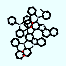 Cc1ccccc1N(c1ccccc1-c1ccccc1)c1cc2c(c3c1oc1ccccc13)-c1c(cc(N(c3ccccc3C)c3ccccc3-c3ccccc3)c3oc4c5ccccc5ccc4c13)C21c2ccccc2N(c2ccccc2)c2ccccc21